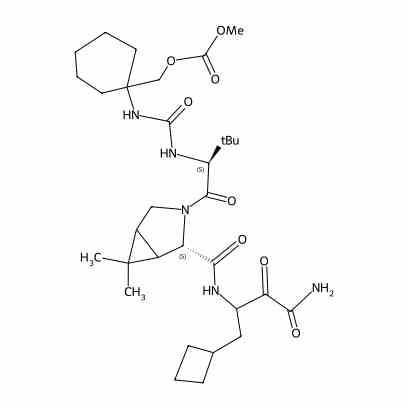 COC(=O)OCC1(NC(=O)N[C@H](C(=O)N2CC3C([C@H]2C(=O)NC(CC2CCC2)C(=O)C(N)=O)C3(C)C)C(C)(C)C)CCCCC1